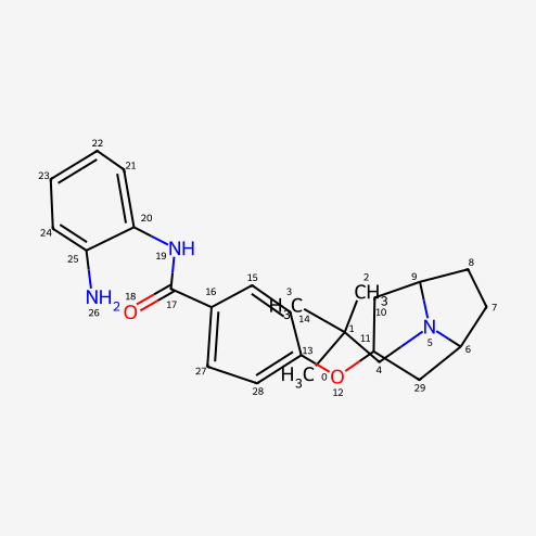 CC(C)(C)CN1C2CCC1CC(Oc1ccc(C(=O)Nc3ccccc3N)cc1)C2